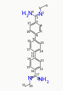 CC/N=C(\N)c1ccc(-c2ccc(-c3ccc(/C(N)=N/CC)cc3)cc2)cc1